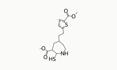 COC(=O)c1[c]cc(CCC2CCNC(S)C(C(=O)OC)C2)s1